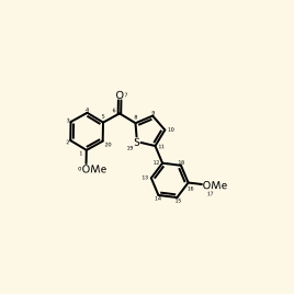 COc1cccc(C(=O)c2ccc(-c3cccc(OC)c3)s2)c1